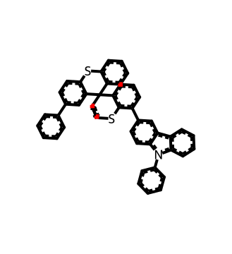 c1ccc(-c2ccc3c(c2)C2(c4ccccc4S3)c3ccccc3Sc3c(-c4ccc5c(c4)c4ccccc4n5-c4ccccc4)cccc32)cc1